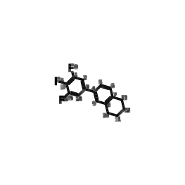 Fc1cc(-c2ccc3c(c2)CCCC3)cc(F)c1F